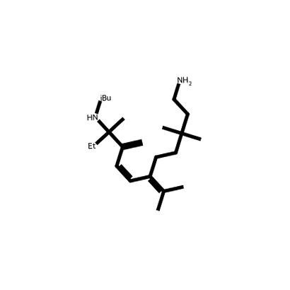 C=C(/C=C\C(CCC(C)(C)CCN)=C(C)C)C(C)(CC)NC(C)CC